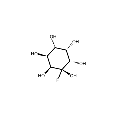 O[C@H]1[C@H](O)[C@H](O)[C@H](O)[C@](O)(F)[C@H]1O